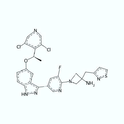 C[C@@H](Oc1ccc2[nH]nc(-c3cnc(N4CC(N)(Cc5ccsn5)C4)c(F)c3)c2c1)c1c(Cl)cncc1Cl